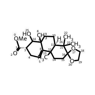 COC(=O)[C@H]1CC=C2C(C)(CC[C@@H]3C2(C)CCC2(OCCO2)C3(C)C)C1O